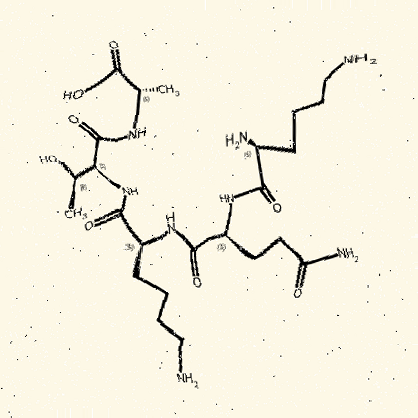 C[C@H](NC(=O)[C@@H](NC(=O)[C@H](CCCCN)NC(=O)[C@H](CCC(N)=O)NC(=O)[C@@H](N)CCCCN)[C@@H](C)O)C(=O)O